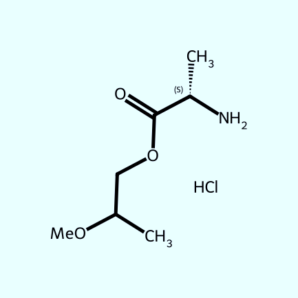 COC(C)COC(=O)[C@H](C)N.Cl